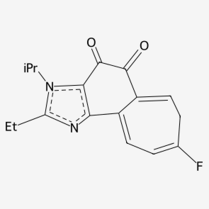 CCc1nc2c(n1C(C)C)C(=O)C(=O)C1=CCC(F)=CC=C12